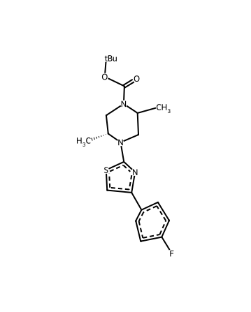 CC1CN(c2nc(-c3ccc(F)cc3)cs2)[C@H](C)CN1C(=O)OC(C)(C)C